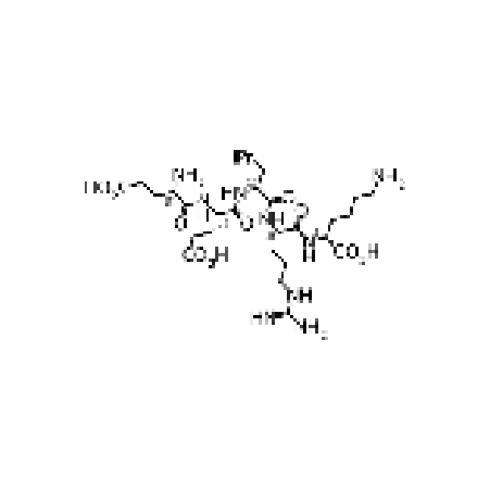 CC(C)C[C@H](NC(=O)[C@H](CCC(=O)O)NC(=O)[C@@H](N)CCC(=O)O)C(=O)N[C@@H](CCCNC(=N)N)C(=O)N[C@@H](CCCCN)C(=O)O